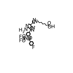 C[C@H](Oc1cc(-c2nn(C)c3c(-c4cnn(CCCCCCC(=O)O)c4)cnc(N)c23)ccc1NS(=O)(=O)C(F)F)c1ccc(F)cc1